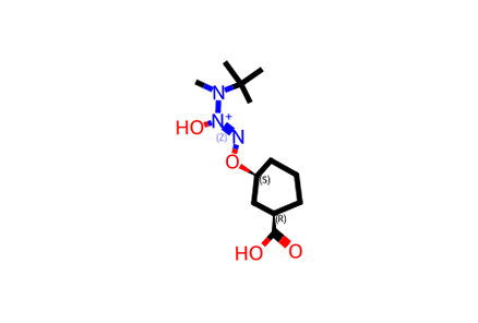 CN(/[N+](O)=N/O[C@H]1CCC[C@@H](C(=O)O)C1)C(C)(C)C